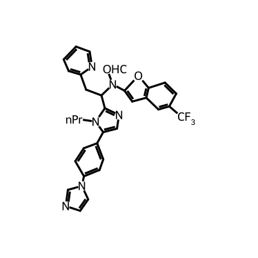 CCCn1c(-c2ccc(-n3ccnc3)cc2)cnc1C(Cc1ccccn1)N(C=O)c1cc2cc(C(F)(F)F)ccc2o1